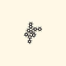 c1ccc(-c2ccc(N(c3ccc4ccccc4c3)c3c4ccccc4cc4c3oc3cccc(-c5nc(-c6ccccc6)nc(-c6ccccc6)n5)c34)cc2)cc1